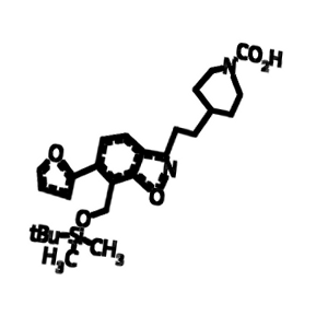 CC(C)(C)[Si](C)(C)OCc1c(-c2ccco2)ccc2c(CCC3CCN(C(=O)O)CC3)noc12